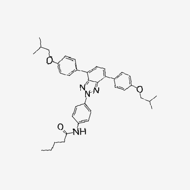 CCCCC(=O)Nc1ccc(-n2nc3c(-c4ccc(OCC(C)C)cc4)ccc(-c4ccc(OCC(C)C)cc4)c3n2)cc1